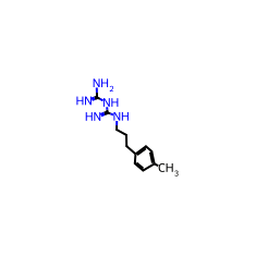 Cc1ccc(CCCNC(=N)NC(=N)N)cc1